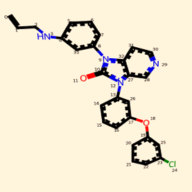 C=CCNc1cccc(-n2c(=O)n(-c3cccc(Oc4cccc(Cl)c4)c3)c3cnccc32)c1